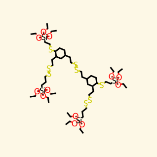 CCO[Si](CCCSSCCC1CC(CCSSCCC2CCC(SCC[Si](OCC)(OCC)OCC)C(CCSSCCC[Si](OCC)(OCC)OCC)C2)CCC1SCC[Si](OCC)(OCC)OCC)(OCC)OCC